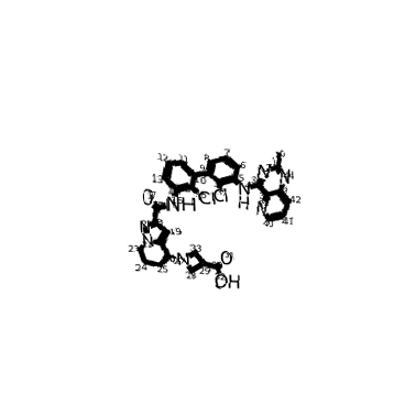 Cc1nc(Nc2cccc(-c3cccc(NC(=O)c4cc5n(n4)CCC[C@H]5N4CC(C(=O)O)C4)c3Cl)c2Cl)c2ncccc2n1